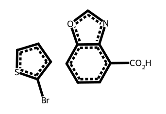 Brc1cccs1.O=C(O)c1cccc2ocnc12